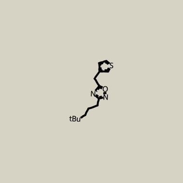 CC(C)(C)CCCc1noc(Cc2ccsc2)n1